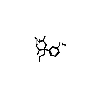 CCCC1(c2cccc(OC)c2)CC(C)N(C)CC1C